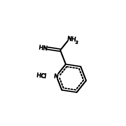 Cl.N=C(N)c1ccccn1